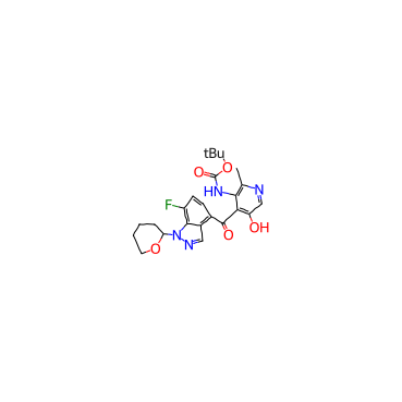 Cc1ncc(O)c(C(=O)c2ccc(F)c3c2cnn3C2CCCCO2)c1NC(=O)OC(C)(C)C